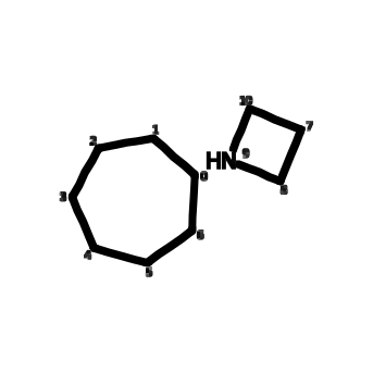 C1CCCCCC1.C1CNC1